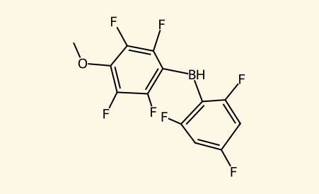 COc1c(F)c(F)c(Bc2c(F)cc(F)cc2F)c(F)c1F